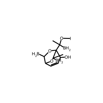 BC1OC2(C(B)(C)OI)C(O)C=CC1OC2(B)C